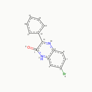 O=c1[nH]c2cc(Br)ccc2nc1-c1ccccc1